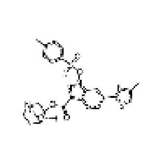 Cc1ccc(S(=O)(=O)On2nc(C(=O)O[C@@H]3CN4CCC3CC4)c3ccc(-c4nc(C)cs4)cc32)cc1